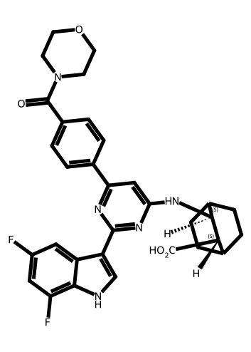 O=C(O)[C@H]1C2CCC(CC2)[C@@H]1Nc1cc(-c2ccc(C(=O)N3CCOCC3)cc2)nc(-c2c[nH]c3c(F)cc(F)cc23)n1